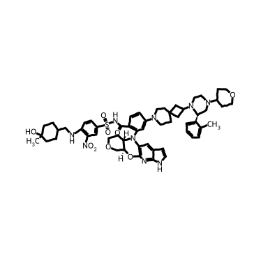 Cc1ccccc1[C@@H]1CN(C2CCOCC2)CCN1C1CC2(CCN(c3ccc(C(=O)NS(=O)(=O)c4ccc(NCC5CCC(C)(O)CC5)c([N+](=O)[O-])c4)c(N4c5cc6cc[nH]c6nc5O[C@H]5COCC[C@@H]54)c3)CC2)C1